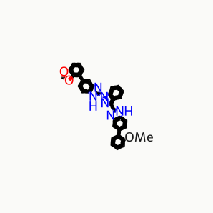 COc1ccccc1-c1ccc2[nH]c(-c3nn(-c4nc5cc(-c6cccc7c6OCO7)ccc5[nH]4)c4ccccc34)nc2c1